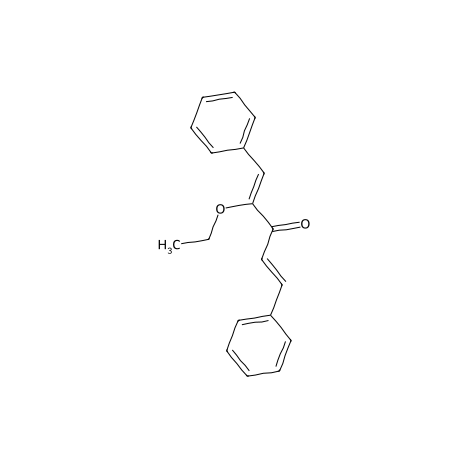 CCOC(=Cc1ccccc1)C(=O)C=Cc1ccccc1